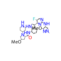 COc1nn(C)cc1Nc1ncc(F)c(-c2c[nH]c3c(NC(=O)[C@H]4C[C@@H](OC)CN4C4CCNCC4)cccc23)n1